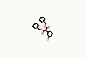 O=C1C=C(C(C(=O)OCc2ccccc2)C(=O)OCc2ccccc2)CCC1